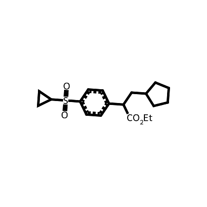 CCOC(=O)C(CC1CCCC1)c1ccc(S(=O)(=O)C2CC2)cc1